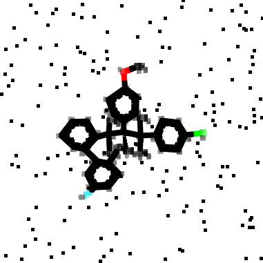 COc1ccc([C@@](C)(C(C)(C)c2ccc(Cl)cc2)C(C)(C)c2ccccc2-c2cc(F)ccc2C)cc1